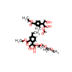 CCOC(=O)c1cc(CC)ccc1C(CO)C(O)OC=O.CCOC(=O)c1ccc(C(CO)C(O)OC=O)c(C)c1.COC.COC